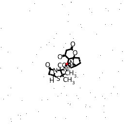 CC1(C)S[C@@H]2CC(=O)N2[C@@]1(N=CN1C2CCC3C(=O)CC(=O)OC31CC2)C(=O)O